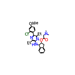 CCc1nc(-c2ccc(OC)cc2Cl)c(CC)nc1N[C@@H]1c2ccccc2C[C@@H]1OC(=O)CN(C)C